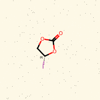 O=C1OC[C@@H](I)O1